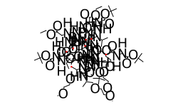 CCOC(=O)CNP(=NC)(N=P(N=P(N=P(N=P(N=P(C)(NC(C)COCCOC)NC(C)COCCOC)(NCCC(=O)NNC(=O)OC(C)(C)C)NC(C)COCCOC)(NCCC(=O)NNC(=O)OC(C)(C)C)NCCC(=O)NNC(=O)OC(C)(C)C)(NCC(=O)OCC)NC(C)COCCOC)(NCCC(=O)NNC(=O)OC(C)(C)C)NCC(=O)OCC)NCC(=O)OCC